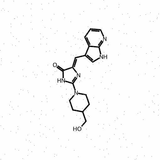 O=C1NC(N2CCC(CO)CC2)=NC1=Cc1c[nH]c2ncccc12